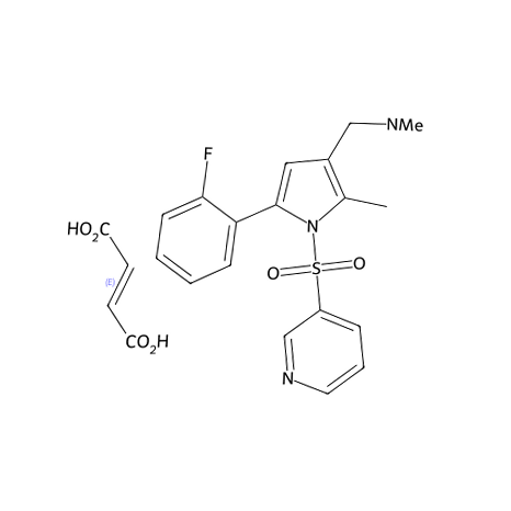 CNCc1cc(-c2ccccc2F)n(S(=O)(=O)c2cccnc2)c1C.O=C(O)/C=C/C(=O)O